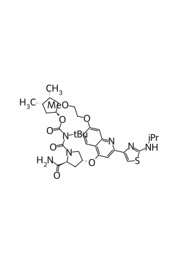 COCCOc1ccc2c(O[C@@H]3C[C@@H](C(N)=O)N(C(=O)N(C(=O)O[C@@H]4C[C@@H](C)[C@@H](C)C4)C(C)(C)C)C3)cc(-c3csc(NC(C)C)n3)nc2c1